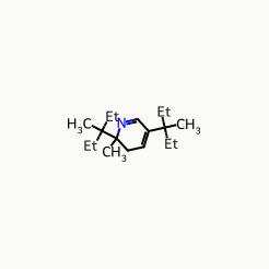 CCC(C)(CC)C1=CCC(C)(C(C)(CC)CC)N=C1